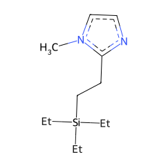 CC[Si](CC)(CC)CCc1nccn1C